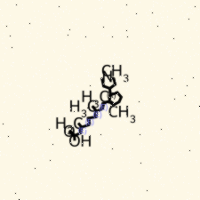 CC1=C(/C=C/C(C)=C/C=C/C(C)=C/C(=O)O)[C@@](C)(C2CCN(C)CC2)CCC1